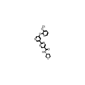 CCOc1cccnc1Oc1cncc(-c2ncc(C(=O)N[C@@H]3CCOC3)cn2)c1